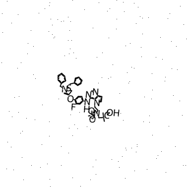 CC(C)(CO)CN(CCn1ccc2ncnc(Nc3ccc(OC4=CN(Cc5ccccc5)S(Cc5ccccc5)=C4)c(F)c3)c21)S(C)(=O)=O